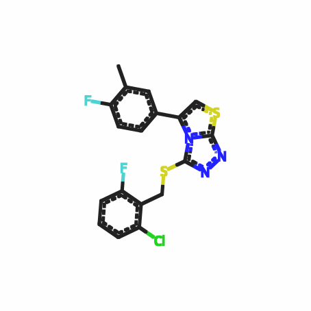 Cc1cc(-c2csc3nnc(SCc4c(F)cccc4Cl)n23)ccc1F